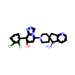 N[C@@H]1c2cccnc2CC12CCN(c1cc(O)c(-c3cccc(Cl)c3Cl)c3nncn13)CC2